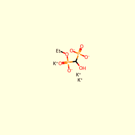 CCOP(=O)([O-])C(O)P(=O)([O-])[O-].[K+].[K+].[K+]